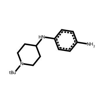 CC(C)(C)N1CCC(Nc2ccc(N)cc2)CC1